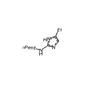 CCCCCNc1ncc(CC)[nH]1